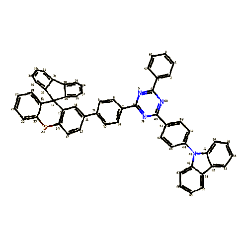 c1ccc(-c2nc(-c3ccc(-c4ccc5c(c4)C4(c6ccccc6S5)c5ccccc5-c5ccccc54)cc3)nc(-c3ccc(-n4c5ccccc5c5ccccc54)cc3)n2)cc1